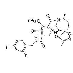 CCCCOc1c2n(cc(C(=O)NCc3ccc(F)cc3F)c1=O)[C@@H]1CN(C2=O)[C@@H](C)CC[C@@]12ON=C(C)C2=O